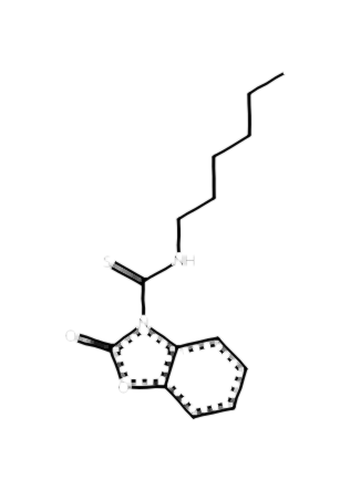 CCCCCCNC(=S)n1c(=O)oc2ccccc21